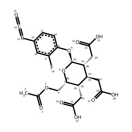 CC(=O)OC[C@@H]1O[C@@H](Oc2ccc(N=C=O)cc2F)[C@H](CC(=O)O)[C@@H](CC(=O)O)[C@@H]1CC(=O)O